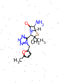 Cc1ccc(Cn2nnnc2C2N3C(=O)C(N)[C@@H]3SC2(C)C)o1